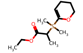 CCOC(=O)C(C)S(C)(C)C1=CCCCO1